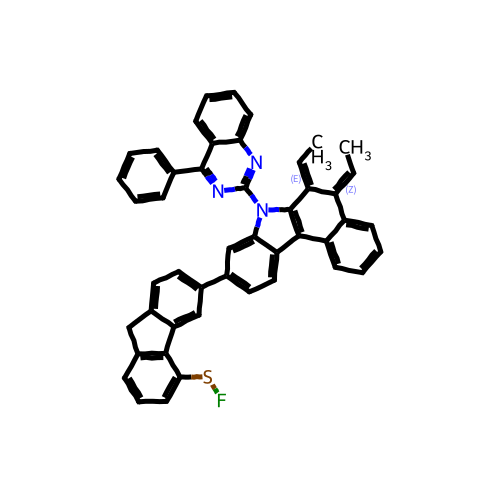 C/C=c1\c(=C/C)c2c(c3ccccc13)c1ccc(-c3ccc4c(c3)-c3c(cccc3SF)C4)cc1n2-c1nc(-c2ccccc2)c2ccccc2n1